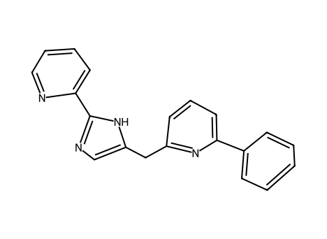 c1ccc(-c2cccc(Cc3cnc(-c4ccccn4)[nH]3)n2)cc1